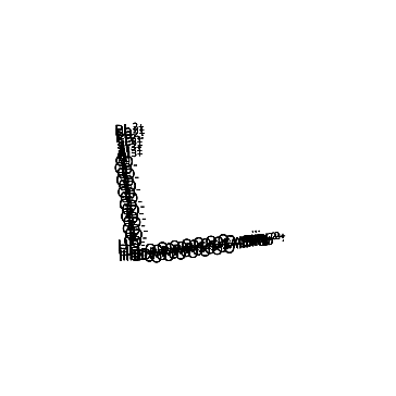 O=P([O-])([O-])[O-].O=P([O-])([O-])[O-].O=P([O-])([O-])[O-].O=P([O-])([O-])[O-].O=P([O-])([O-])[O-].O=P([O-])([O-])[O-].O=P([O-])([O-])[O-].O=S(=O)([O-])[O-].O=S(=O)([O-])[O-].O=S(=O)([O-])[O-].O=S(=O)([O-])[O-].O=S(=O)([O-])[O-].O=S(=O)([O-])[O-].O=S(=O)([O-])[O-].[Al+3].[Al+3].[Al+3].[Al+3].[Al+3].[Al+3].[OH-].[OH-].[OH-].[OH-].[OH-].[OH-].[OH-].[Pb+2].[Pb+2].[Pb+2].[Pb+2].[Pb+2].[Pb+2].[Sr+2].[Sr+2].[Sr+2].[Sr+2].[Sr+2].[Sr+2]